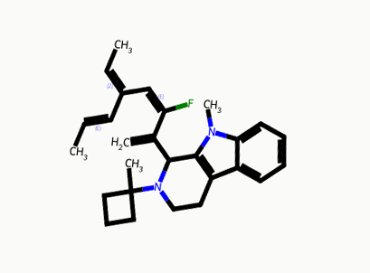 C=C(\C(F)=C/C(=C\C)/C=C/C)C1c2c(c3ccccc3n2C)CCN1C1(C)CCC1